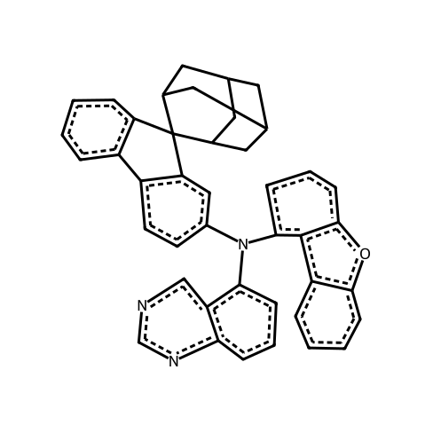 c1ccc2c(c1)-c1ccc(N(c3cccc4ncncc34)c3cccc4oc5ccccc5c34)cc1C21C2CC3CC(C2)CC1C3